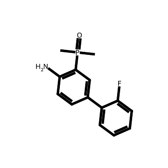 CP(C)(=O)c1cc(-c2ccccc2F)ccc1N